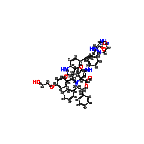 NC(=O)NCC#CC1=CC2C(C=C1)NC(=O)[C@]21[C@H](c2ccc(OCCO)cc2)N2[C@H](C3=CCCC=C3)[C@H](c3ccccc3)OC(=O)[C@H]2[C@@H]1C(=O)Nc1ccc(N2CCOCC2)cc1